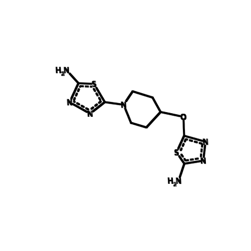 Nc1nnc(OC2CCN(c3nnc(N)s3)CC2)s1